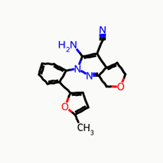 Cc1ccc(-c2ccccc2N2N=C3COCC=C3C(C#N)=C2N)o1